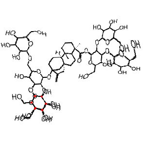 C=C1C[C@@]23CCC4[C@](C)(C(=O)OC5OC(CO)C(O)C(OC6OC(CO)C(O)C(O)C6O)C5OC5OC(CO)C(O)C(O)C5O)CCC[C@@]4(C)[C@@H]2CCC1(OC1OC(COC2OC(CO)C(O)C(O)C2O)C(O)C(OC2OC(CO)C(O)C(O)C2O)C1OC1OC(CO)C(O)C(O)C1O)C3